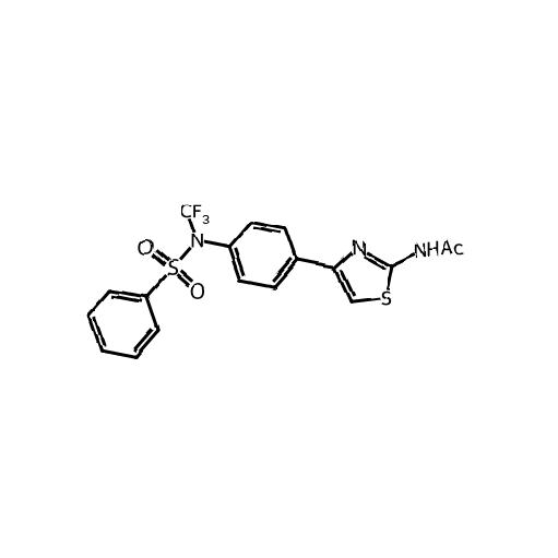 CC(=O)Nc1nc(-c2ccc(N(C(F)(F)F)S(=O)(=O)c3ccccc3)cc2)cs1